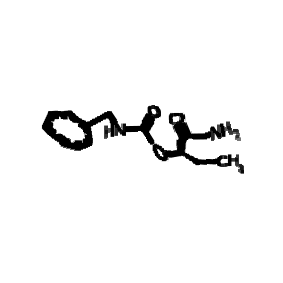 CC[C@@H](OC(=O)NCc1ccccc1)C(N)=O